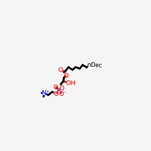 CCCCCCCCCCCCCCCCC(=O)OCC(O)COP(=O)([O-])OCC[N+](C)(C)C